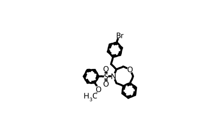 COc1ccccc1S(=O)(=O)N1Cc2ccccc2COCC1Cc1ccc(Br)cc1